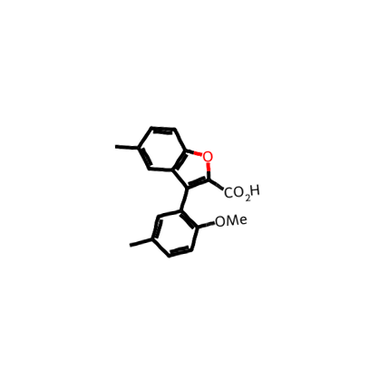 COc1ccc(C)cc1-c1c(C(=O)O)oc2ccc(C)cc12